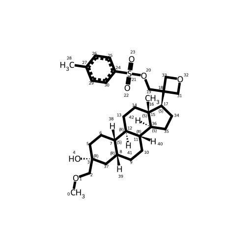 COC[C@@]1(O)CC[C@H]2[C@H](CC[C@@H]3[C@@H]2CC[C@]2(C)[C@@H](C4(COS(=O)(=O)c5ccc(C)cc5)COC4)CC[C@@H]32)C1